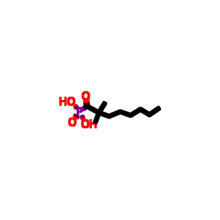 CCCCCCC(C)(C)C(=O)P(=O)(O)O